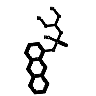 CCOC(OCC)OP(=O)(O)Oc1cccc2cc3ccccc3cc12